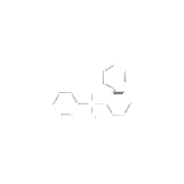 O[Si](Oc1ccccc1)(c1ccccc1)c1ccccc1